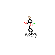 CC(C)(C)c1ccc(COc2c(Cl)cc(Br)cc2C=O)cc1